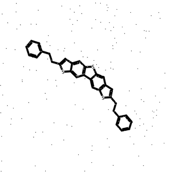 c1ccc(CCc2cc3cc4sc5cc6cc(CCc7ccccc7)sc6cc5c4cc3s2)cc1